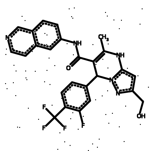 CC1=C(C(=O)Nc2ccc3cnccc3c2)C(c2ccc(C(F)(F)F)c(F)c2)n2nc(CO)cc2N1